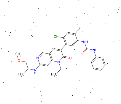 CCn1c(=O)c(-c2cc(NC(=O)Nc3ccccc3)c(F)cc2Cl)cc2cnc(NC(C)COC)cc21